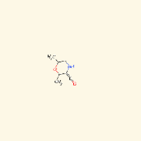 CC1CNC(=C=O)C(C)O1